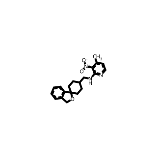 Cc1ccnc(NCC2CCC3(CC2)OCc2ccccc23)c1[N+](=O)[O-]